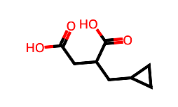 O=C(O)CC(CC1CC1)C(=O)O